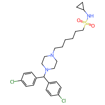 O=S(=O)(CCCCCCN1CCN(C(c2ccc(Cl)cc2)c2ccc(Cl)cc2)CC1)NC1CC1